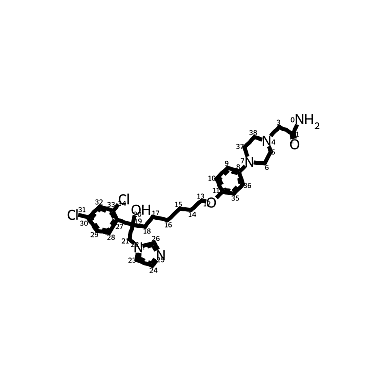 NC(=O)CN1CCN(c2ccc(OCCCCCCC(O)(Cn3ccnc3)c3ccc(Cl)cc3Cl)cc2)CC1